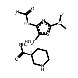 C[S+]([O-])c1nc(NC(N)=O)c(C(=O)O)s1.NC(=O)[C@H]1CCCNC1